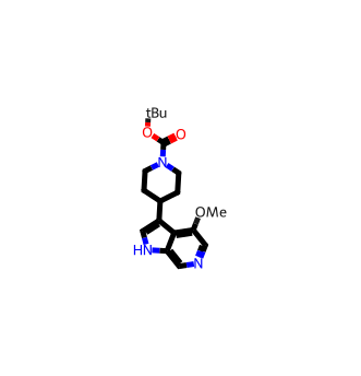 COc1cncc2[nH]cc(C3CCN(C(=O)OC(C)(C)C)CC3)c12